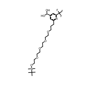 CC(C)(C)[Si](C)(C)OCCOCCOCCOCCOCCCc1cc(B(O)O)cc(C(F)(F)F)n1